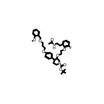 COc1ccccc1COCCCOc1ccc(C2CCN(C(=O)OC(C)(C)C)CC2OCCOc2c(F)cccc2CCNC(C)=O)cc1